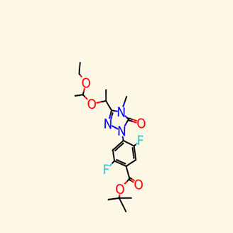 CCOC(C)OC(C)c1nn(-c2cc(F)c(C(=O)OC(C)(C)C)cc2F)c(=O)n1C